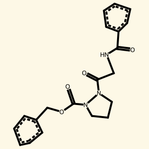 O=C(NCC(=O)N1CCCN1C(=O)OCc1ccccc1)c1ccccc1